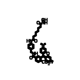 C=c1ccc2c(c1)Oc1cc(N(C)C)ccc1C=2c1cc(C(=O)NCc2ccc(NC(=O)CCCCCCC(=O)NO)cc2)ccc1C(=O)O